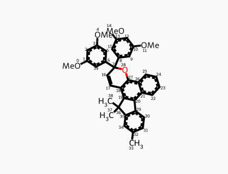 COc1cc(OC)cc(C2(c3cc(OC)cc(OC)c3)C=Cc3c4c(c5ccccc5c3O2)-c2ccc(C)cc2C4(C)C)c1